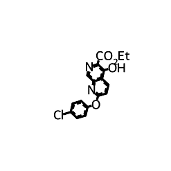 CCOC(=O)c1ncc2nc(Oc3ccc(Cl)cc3)ccc2c1O